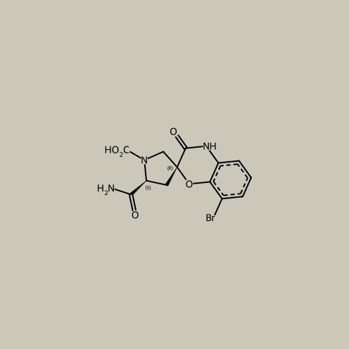 NC(=O)[C@@H]1C[C@]2(CN1C(=O)O)Oc1c(Br)cccc1NC2=O